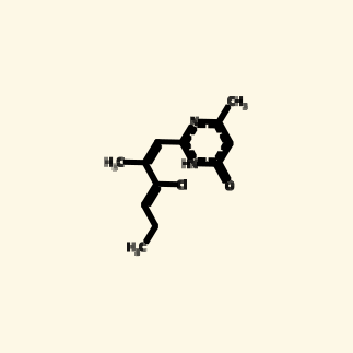 CC/C=C(Cl)/C(C)=C\c1nc(C)cc(=O)[nH]1